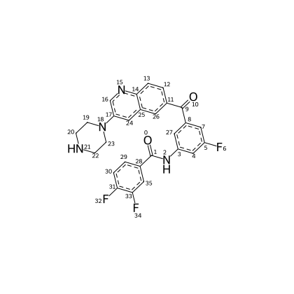 O=C(Nc1cc(F)cc(C(=O)c2ccc3ncc(N4CCNCC4)cc3c2)c1)c1ccc(F)c(F)c1